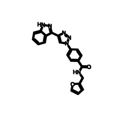 O=C(NCc1ccco1)c1ccc(-n2cc(-c3n[nH]c4ccccc34)nn2)cc1